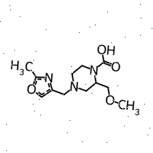 COCC1CN(Cc2coc(C)n2)CCN1C(=O)O